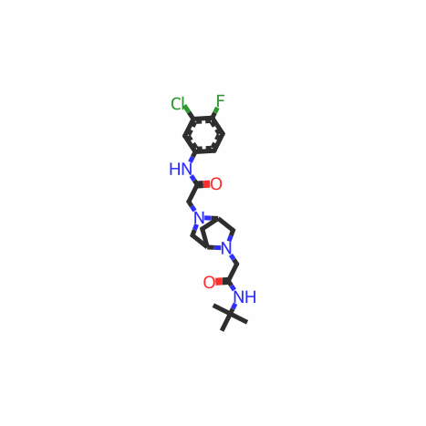 CC(C)(C)NC(=O)CN1CC2CC1CN2CC(=O)Nc1ccc(F)c(Cl)c1